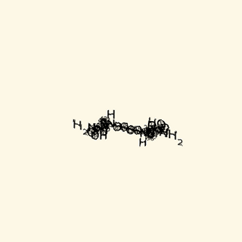 Cc1c(NCCOCCOCCOCCOCCNc2c(C)c(C(=O)c3ccc(N)c(C(=O)O)c3)n3ccccc23)c2ccccn2c1C(=O)c1ccc(N)c(C(=O)O)c1